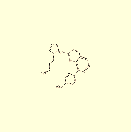 COc1ccc(-c2cncc3ccc(C(=O)O)nc23)cc1.NCCCn1ccnc1